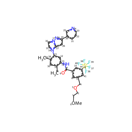 COCCOCc1cc(C(=O)Nc2cc(-n3ccn4nc(-c5cccnc5)cc34)c(C)cc2C)cc(S(F)(F)(F)(F)F)c1